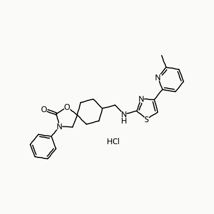 Cc1cccc(-c2csc(NCC3CCC4(CC3)CN(c3ccccc3)C(=O)O4)n2)n1.Cl